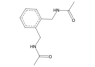 CC(=O)NCc1ccccc1CNC(C)=O